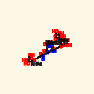 CNC(=O)[C@H](CCC(=O)N(CCNC(=O)CCCCOC1OC(CO)C(O)C(O)C1NC(C)=O)CCNC(=O)CCCCOC1OC(CO)C(O)C(O)C1NC(C)=O)NC(=O)CCCCOC1OC(CO)C(O)C(O)C1NC(C)=O